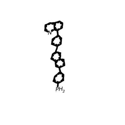 Pc1ccc(-c2ccc3cc(-c4ccc(-c5cccc6cccnc56)cc4)ccc3c2)cc1